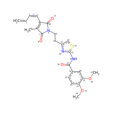 C=C/C=C\C1=C(C)C(=O)N(CCc2csc(NC(=O)c3ccc(OC)c(OC)c3)n2)C1=O